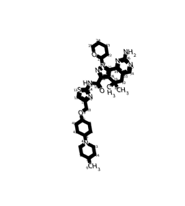 CC1CCN(C2CCC(OCc3csc(NC(=O)c4nn(C5CCCCO5)c5c4C(C)(C)Cc4cnc(N)nc4-5)n3)CC2)CC1